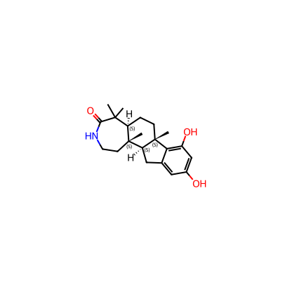 CC1(C)C(=O)NCC[C@]2(C)[C@@H]1CC[C@]1(C)c3c(O)cc(O)cc3C[C@@H]21